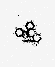 CC[C@@]12CCCN3CCc4c([nH]c5c4=CCCC=5)[C@]31N(Cc1ccccc1)C(=O)C2